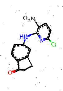 O=C1CCc2cc(Nc3nc(Cl)ccc3[N+](=O)[O-])ccc21